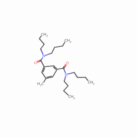 CCCCN(CCCC)C(=O)c1cc(C)cc(C(=O)N(CCCC)CCCC)c1